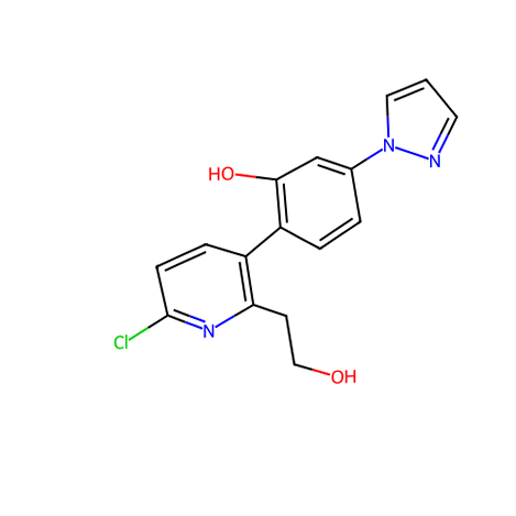 OCCc1nc(Cl)ccc1-c1ccc(-n2cccn2)cc1O